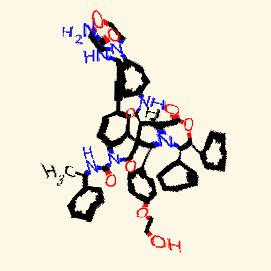 C[C@@H](NC(=O)N1C(=O)[C@@]2(C3C=C(C#CCNC(N)=O)C=CC31)[C@H](c1ccc(OCCO)cc1)N1[C@H](C3=CCCC=C3)[C@H](c3ccccc3)OC(=O)[C@H]1[C@@H]2C(=O)Nc1ccc(N2CCOCC2)cc1)c1ccccc1